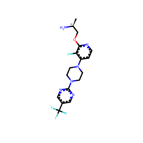 C[C@H](N)COc1nccc(N2CCN(c3ncc(C(F)(F)F)cn3)CC2)c1F